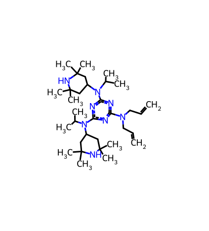 C=CCN(CC=C)c1nc(N(C(C)C)C2CC(C)(C)NC(C)(C)C2)nc(N(C(C)C)C2CC(C)(C)NC(C)(C)C2)n1